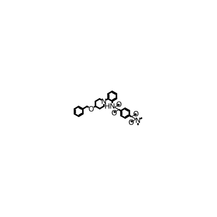 CN(C)S(=O)(=O)c1ccc(S(=O)(=O)Nc2ccccc2N2CCC(OCc3ccccc3)CC2)cc1